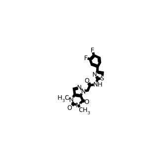 Cn1c(=O)c2c(cnn2CC(=O)Nc2nc(-c3ccc(F)c(F)c3)cs2)n(C)c1=O